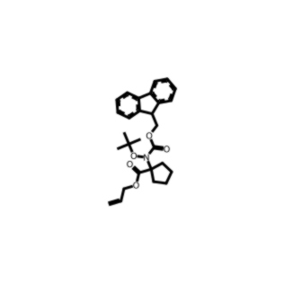 C=CCOC(=O)C1(N(OC(C)(C)C)C(=O)OCC2c3ccccc3-c3ccccc32)CCCC1